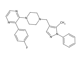 Cc1c(CN2CCN(c3nccnc3-c3ccc(F)cc3)CC2)cnn1-c1ccccc1